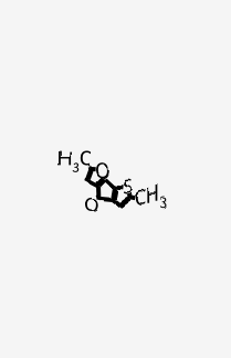 Cc1cc2c(o1)-c1sc(C)cc1C2=O